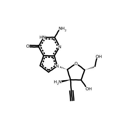 C#C[C@@]1(N)C(O)[C@@H](CO)O[C@H]1n1ccc2c(=O)[nH]c(N)nc21